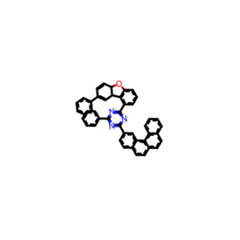 C1=CC2Oc3cccc(-c4nc(-c5ccccc5)nc(-c5ccc6ccc7ccc8ccccc8c7c6c5)n4)c3C2C=C1c1ccccc1